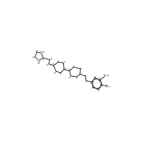 Fc1ccc(CCC2CCC(C3CCC(CCC4OCCO4)CC3)CC2)cc1F